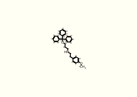 COc1ccc(CCNCCCOC(c2ccccc2)(c2ccccc2)c2ccccc2)cc1